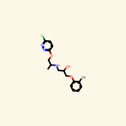 CC(COc1ccc(Cl)nn1)NCC(O)COc1ccccc1C#N